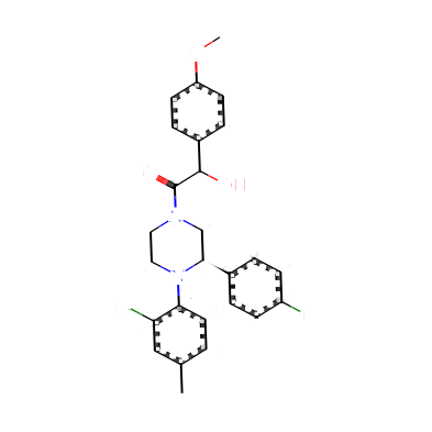 COc1ccc(C(O)C(=O)N2CCN(c3ccc(C)cc3Cl)[C@H](c3ccc(Cl)cc3)C2)cc1